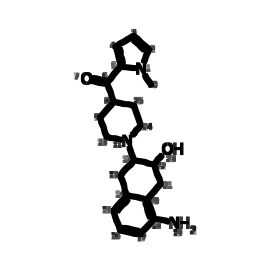 Cn1cccc1C(=O)C1CCN(C2Cc3cccc(N)c3CC2O)CC1